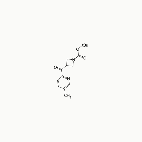 Cc1ccc(C(=O)C2CN(C(=O)OC(C)(C)C)C2)nc1